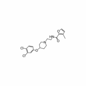 Cc1ccoc1C(=O)NCCN1CCC(Oc2ccc(Cl)c(Cl)c2)CC1